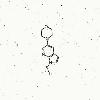 ISn1ccc2cc(N3CCOCC3)cnc21